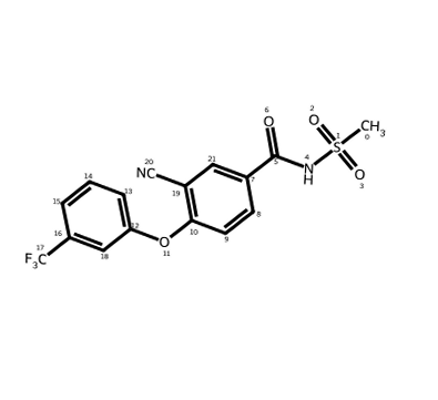 CS(=O)(=O)NC(=O)c1ccc(Oc2cccc(C(F)(F)F)c2)c(C#N)c1